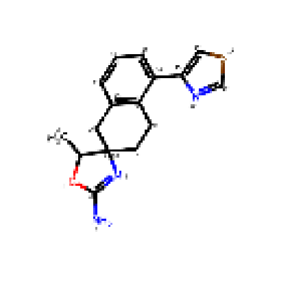 CC1OC(N)=N[C@]12CCc1c(cccc1-c1cscn1)C2